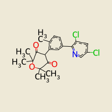 Cc1ccc(-c2ncc(Cl)cc2Cl)cc1C1C(=O)C(C)(C)OC(C)(C)C1=O